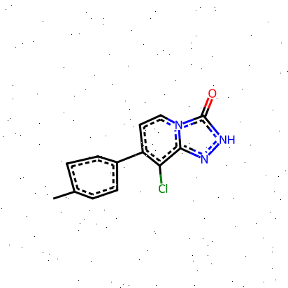 Cc1ccc(-c2ccn3c(=O)[nH]nc3c2Cl)cc1